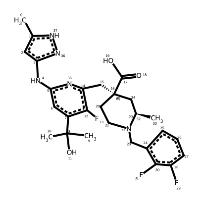 Cc1cc(Nc2cc(C(C)(C)O)c(F)c(C[C@@]3(C(=O)O)CCN(Cc4cccc(F)c4F)[C@H](C)C3)n2)n[nH]1